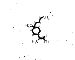 CCCCC1(C)CCC([C@@H](C)C(=O)O)CC1